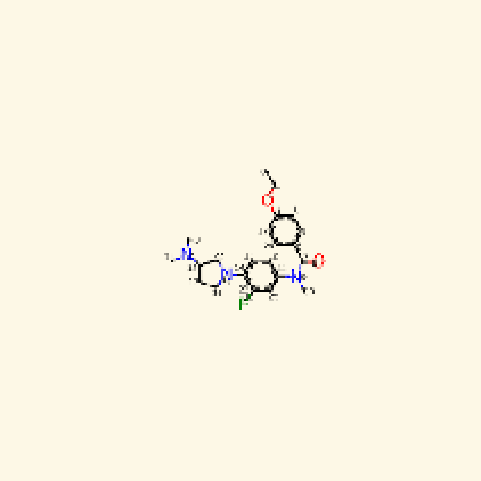 CCOc1ccc(C(=O)N(C)c2ccc(N3CCC(N(C)C)C3)c(F)c2)cc1